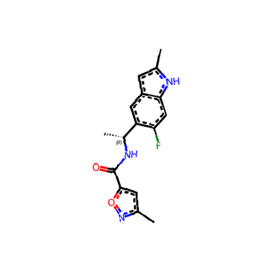 Cc1cc(C(=O)N[C@H](C)c2cc3cc(C)[nH]c3cc2F)on1